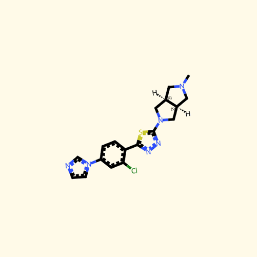 CN1C[C@@H]2CN(c3nnc(-c4ccc(-n5ccnc5)cc4Cl)s3)C[C@@H]2C1